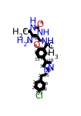 C=C1NC(=O)NC(C(=O)N[C@H](C)c2cccc(-c3cnn(CCc4ccc(Cl)cc4)c3)c2)=C1N